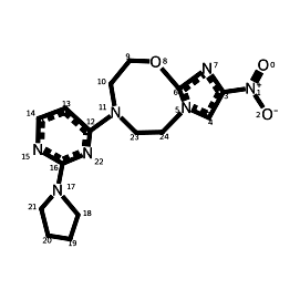 O=[N+]([O-])c1cn2c(n1)OCCN(c1ccnc(N3CCCC3)n1)CC2